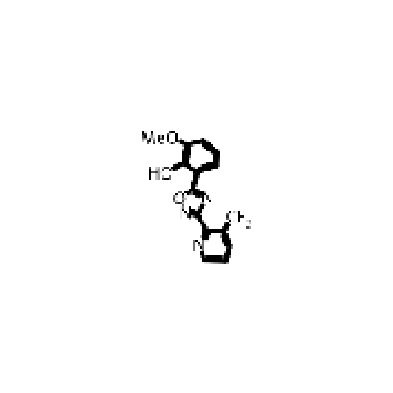 COc1cccc(-c2nc(-c3ncccc3C(F)(F)F)no2)c1O